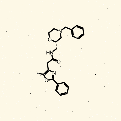 Cc1oc(-c2ccccc2)nc1CC(=O)NC[C@H]1CN(Cc2ccccc2)CCO1